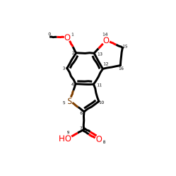 COc1cc2sc(C(=O)O)cc2c2c1OCC2